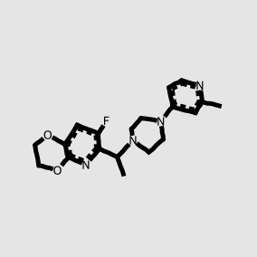 Cc1cc(N2CCN(C(C)c3nc4c(cc3F)OCCO4)CC2)ccn1